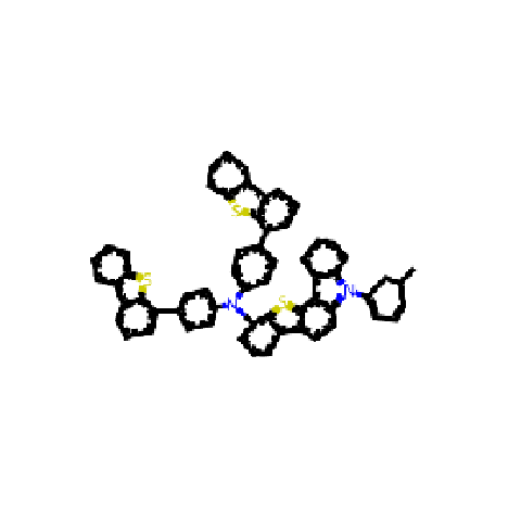 CC1C=CC=C(n2c3ccccc3c3c4sc5c(N(c6ccc(-c7cccc8c7sc7ccccc78)cc6)c6ccc(-c7cccc8c7sc7ccccc78)cc6)cccc5c4ccc32)C1